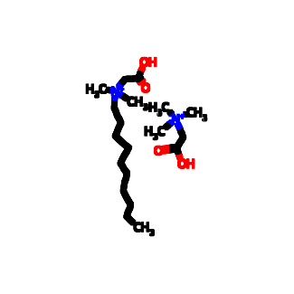 CCCCCCCCCC[N+](C)(C)CC(=O)O.C[N+](C)(C)CC(=O)O